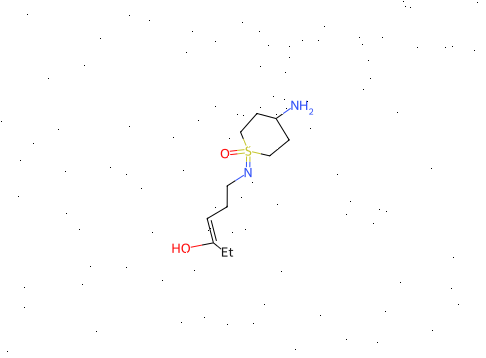 CC/C(O)=C\CCN=S1(=O)CCC(N)CC1